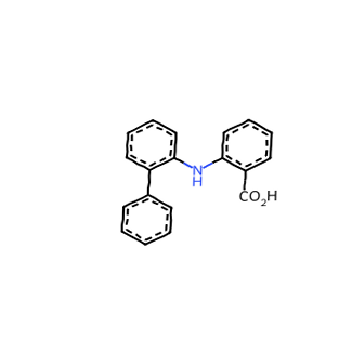 O=C(O)c1ccccc1Nc1ccccc1-c1ccccc1